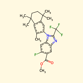 COC(=O)c1cc2nc(C(F)(F)F)n(-c3cc4c(cc3C)C(C)(C)CCC4(C)C)c2cc1F